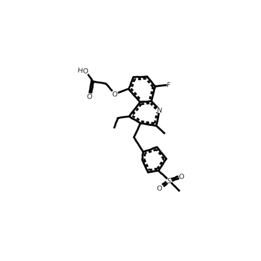 CCc1c(Cc2ccc(S(C)(=O)=O)cc2)c(C)nc2c(F)ccc(OCC(=O)O)c12